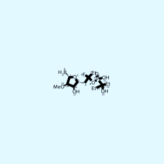 B[C@@H]1O[C@H](CC(F)(CC)OP(=O)(O)C(O)(CC)CC)[C@@H](O)[C@H]1OC